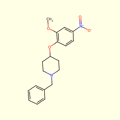 COc1cc([N+](=O)[O-])ccc1OC1CCN(Cc2ccccc2)CC1